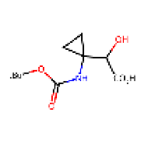 CC(C)(C)OC(=O)NC1(C(O)C(=O)O)CC1